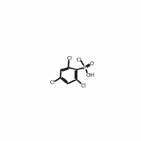 O=P(O)(Cl)c1c(Cl)cc(Cl)cc1Cl